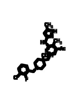 CC(=O)c1cc(CC2(C(=O)O)CCN(Cc3cccc(Cl)c3F)CC2)nc(Nc2cc(C)[nH]n2)c1C